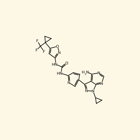 Nc1ncnc2c1c(-c1ccc(NC(=O)Nc3cc(C4(C(F)(F)F)CC4)on3)nc1)nn2C1CC1